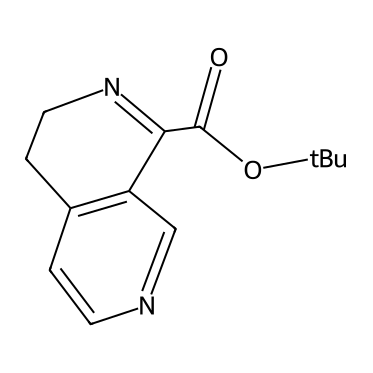 CC(C)(C)OC(=O)C1=NCCc2ccncc21